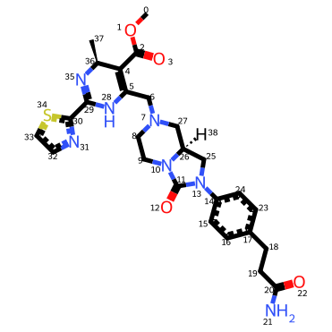 COC(=O)C1=C(CN2CCN3C(=O)N(c4ccc(CCC(N)=O)cc4)C[C@@H]3C2)NC(c2nccs2)=N[C@H]1C